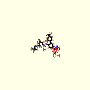 Cc1cc(NC(=O)c2ccc(NS(=O)(=O)CCO)cc2C2=CCC3(CC2)CC3)nc(N2CC(F)(F)C2)n1